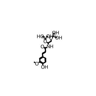 COc1cc(/C=C/C(=O)NC(CON(O)O)ON(O)O)ccc1O